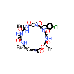 CCC(C)[C@@H]1NC(=O)CN(C)C(=O)[C@@H](Cc2ccc(Cl)cc2)N(C)C(=O)[C@H](C)NC(=O)[C@@H](CC(C)C)OC(=O)/C(C)=C/CC[C@H](C)[C@@H]([C@@H](C)CC)NC(=O)C(C)(C)NC1=O